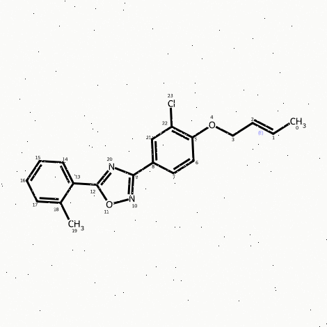 C/C=C/COc1ccc(-c2noc(-c3ccccc3C)n2)cc1Cl